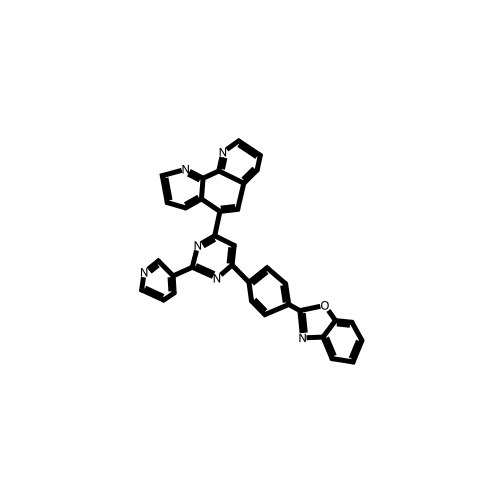 c1cncc(-c2nc(-c3ccc(-c4nc5ccccc5o4)cc3)cc(-c3cc4cccnc4c4ncccc34)n2)c1